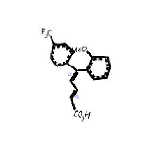 COc1ccccc1/C(=C\C=C\C(=O)O)c1ccc(C(F)(F)F)cc1